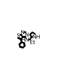 CCC(Nc1ncnc2scc(-c3ccccc3)c12)C1CCCN1